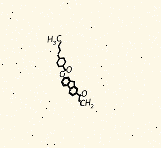 C=CC(=O)c1ccc2c(c1)Cc1cc(OC(=O)C3CCC(CCCCC)CC3)ccc1-2